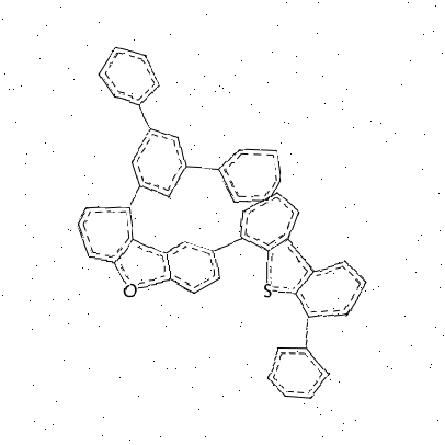 c1ccc(-c2cc(-c3ccccc3)cc(-c3cccc4oc5ccc(-c6cccc7c6sc6c(-c8ccccc8)cccc67)cc5c34)c2)cc1